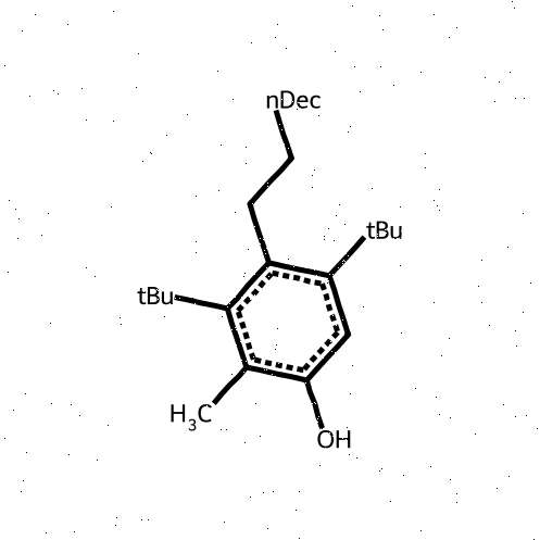 CCCCCCCCCCCCc1c(C(C)(C)C)cc(O)c(C)c1C(C)(C)C